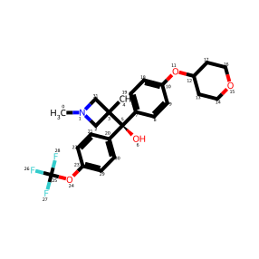 CN1CC(C)([C@](O)(c2ccc(OC3CCOCC3)cc2)c2ccc(OC(F)(F)F)cc2)C1